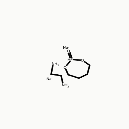 NCCN.O=[PH]1OCCCCO1.[Na].[Na]